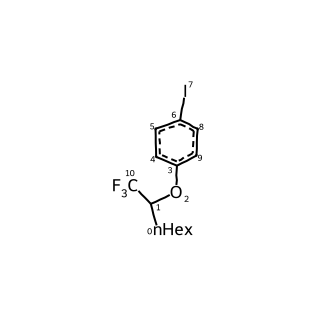 CCCCCCC(Oc1ccc(I)cc1)C(F)(F)F